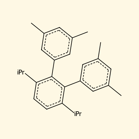 Cc1cc(C)cc(-c2c(C(C)C)ccc(C(C)C)c2-c2cc(C)cc(C)c2)c1